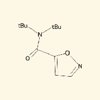 CC(C)(C)N(C(=O)c1ccno1)C(C)(C)C